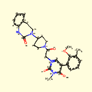 COc1c(C)cccc1-c1cn(CC(=O)N2CCC(N3CCc4ccccc4NC3=O)CC2)c(=O)n(C)c1=O